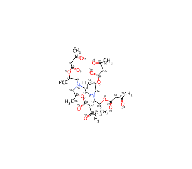 CC(=O)CC(=O)OC(C)CN(CCN(CC(C)OC(=O)CC(C)=O)CC(C)OC(=O)CC(C)=O)CC(C)OC(=O)CC(C)=O